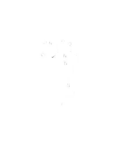 Cc1cc(CCN2CC[C@H](F)C2)nn([C@@H](CC(C)C)C(N)=O)c1=O